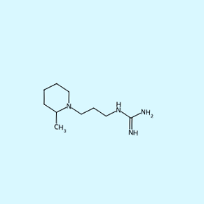 CC1CCCCN1CCCNC(=N)N